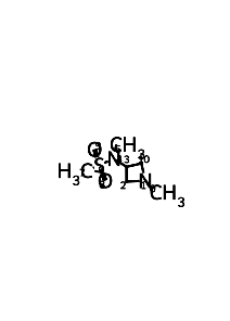 CN1CC(N(C)S(C)(=O)=O)C1